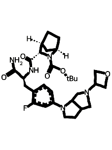 CC(C)(C)OC(=O)N1[C@@H]2CC[C@@H](C2)[C@H]1C(=O)N[C@@H](Cc1ccc(N2CCC3CN(C4COC4)CC32)cc1F)C(N)=O